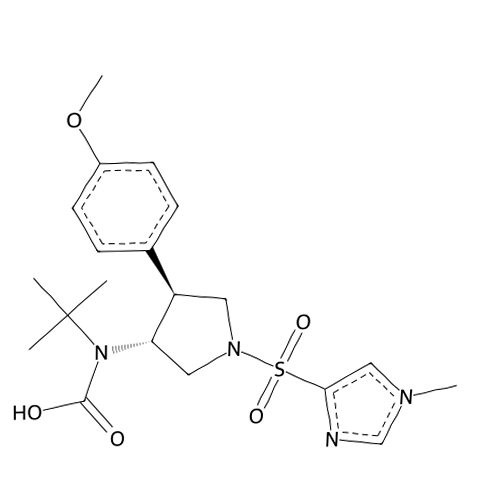 COc1ccc([C@H]2CN(S(=O)(=O)c3cn(C)cn3)C[C@@H]2N(C(=O)O)C(C)(C)C)cc1